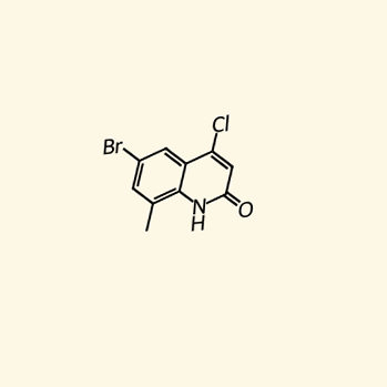 Cc1cc(Br)cc2c(Cl)cc(=O)[nH]c12